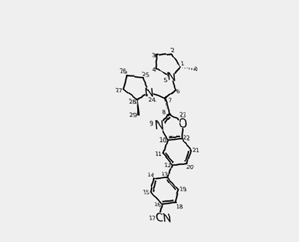 C[C@H]1CCCN1CC(c1nc2cc(-c3ccc(C#N)cc3)ccc2o1)N1CCC[C@@H]1C